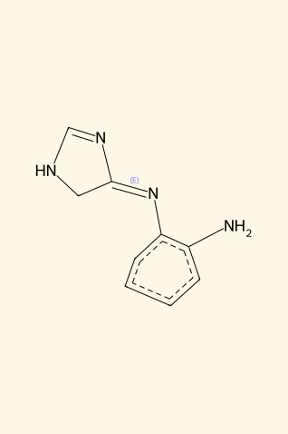 Nc1ccccc1/N=C1\CNC=N1